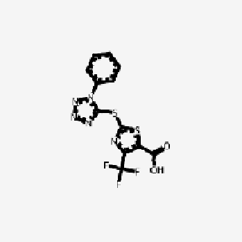 O=C(O)c1sc(Sc2nnnn2-c2ccccc2)nc1C(F)(F)F